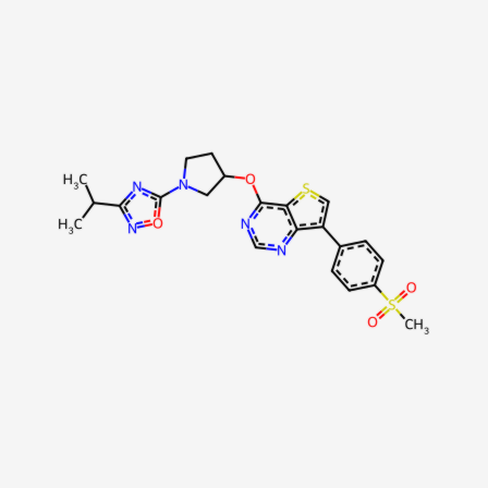 CC(C)c1noc(N2CCC(Oc3ncnc4c(-c5ccc(S(C)(=O)=O)cc5)csc34)C2)n1